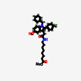 COC(=O)CCCCCCCNC(=O)Cc1c(-c2ccc(F)cc2)n(Cc2ccccc2)c2ccc(O)cc12